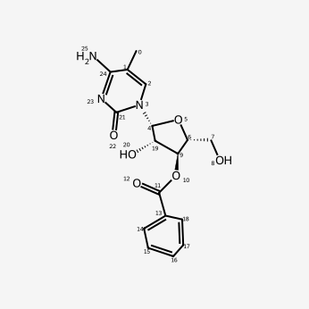 Cc1cn([C@@H]2O[C@H](CO)[C@@H](OC(=O)c3ccccc3)[C@@H]2O)c(=O)nc1N